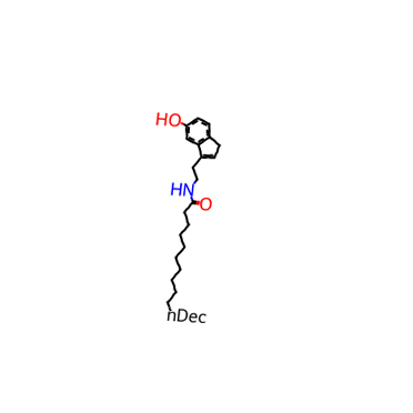 CCCCCCCCCCCCCCCCCCCC(=O)NCCC1=CCc2ccc(O)cc21